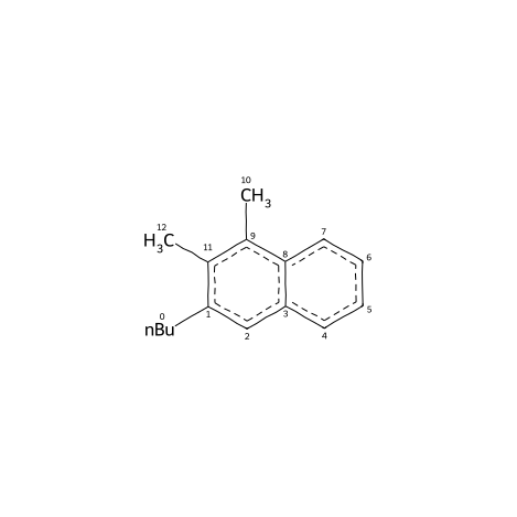 CCCCc1cc2ccccc2c(C)c1C